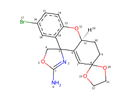 NC1=NC2(CO1)C1=CC3(CC[C@@H]1Oc1ccc(Br)cc12)OCCO3